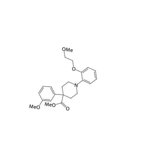 COCCOc1ccccc1N1CCC(C(=O)OC)(c2cccc(OC)c2)CC1